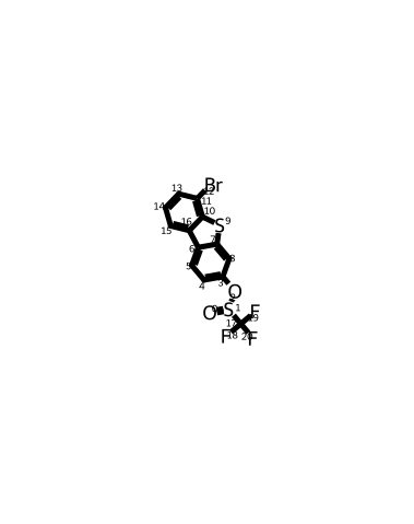 O=S(Oc1ccc2c(c1)sc1c(Br)cccc12)C(F)(F)F